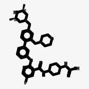 C[C@@H]1CN(Cc2ccc(-c3cccc(Oc4ncc(F)cc4C(=O)NC4CCC(NC(=O)O)CC4)c3)c(CN3CCOCC3)c2)C[C@H](C)N1